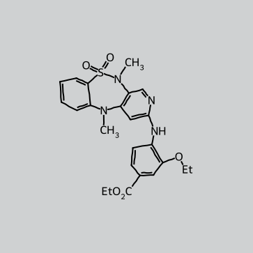 CCOC(=O)c1ccc(Nc2cc3c(cn2)N(C)S(=O)(=O)c2ccccc2N3C)c(OCC)c1